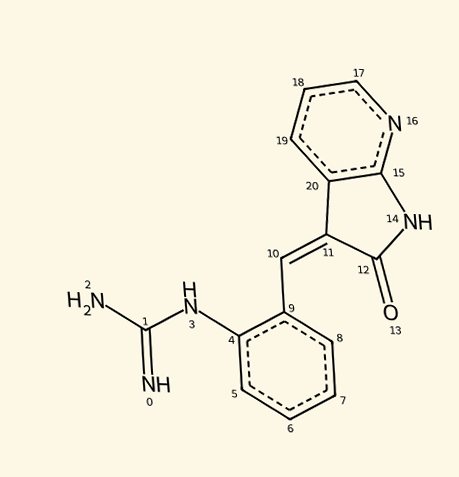 N=C(N)Nc1ccccc1C=C1C(=O)Nc2ncccc21